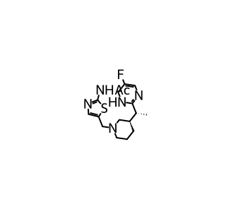 CC(=O)Nc1ncc(CN2CCC[C@H]([C@@H](C)C3=NC=C(F)CN3)C2)s1